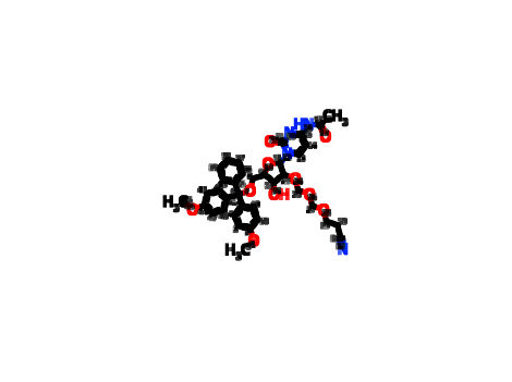 COc1ccc(C(OCC2OC(n3ccc(NC(C)=O)nc3=O)C(OCOCOCCC#N)C2O)(c2ccccc2)c2ccc(OC)cc2)cc1